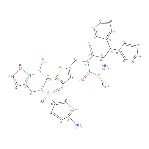 COC(=O)N(Cc1ccc([C@@H](CO)N(Cc2cnon2)S(=O)(=O)c2ccc(N)cc2)s1)C(=O)[C@@H](N)C(c1ccccc1)c1ccccc1